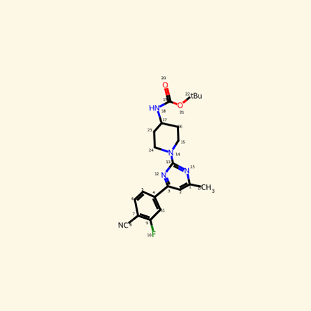 Cc1cc(-c2ccc(C#N)c(F)c2)nc(N2CCC(NC(=O)OC(C)(C)C)CC2)n1